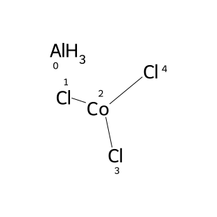 [AlH3].[Cl][Co]([Cl])[Cl]